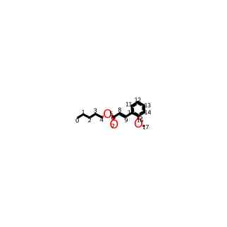 CCCCCOC(=O)/C=C/c1ccccc1OC